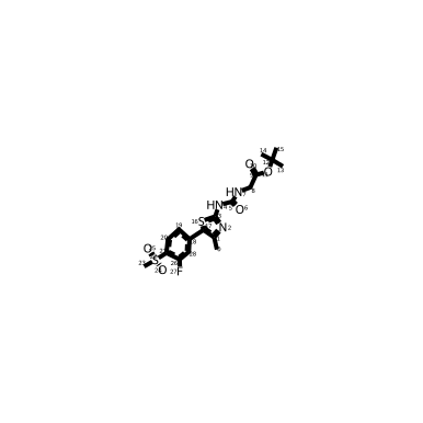 Cc1nc(NC(=O)NCC(=O)OC(C)(C)C)sc1-c1ccc(S(C)(=O)=O)c(F)c1